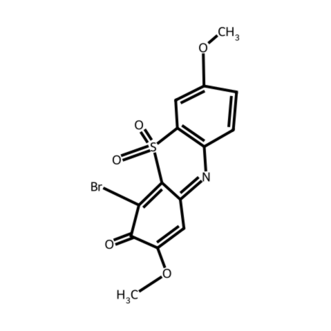 COC1=CC2=Nc3ccc(OC)cc3S(=O)(=O)C2=C(Br)C1=O